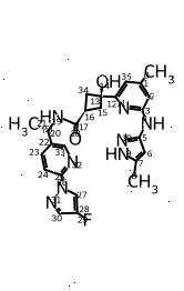 Cc1cc(Nc2cc(C)[nH]n2)nc([C@]2(O)C[C@@H](C(=O)N[C@@H](C)c3ccc(-n4cc(F)cn4)nc3)C2)c1